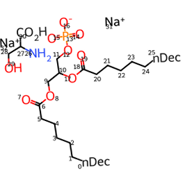 CCCCCCCCCCCCCCCC(=O)OCC(COP(=O)([O-])[O-])OC(=O)CCCCCCCCCCCCCCC.NC(CO)C(=O)O.[Na+].[Na+]